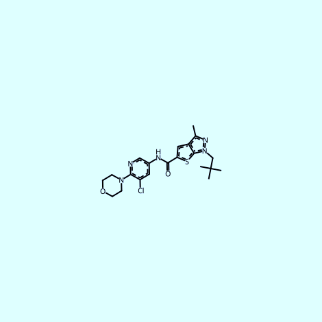 Cc1nn(CC(C)(C)C)c2sc(C(=O)Nc3cnc(N4CCOCC4)c(Cl)c3)cc12